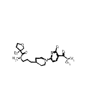 CC[C@@]1(C(=O)N(C)CCCC2CCN(c3ccc(C(=O)N(C)C)c(Cl)n3)CC2)CCOC1